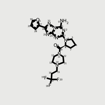 Nc1nc(N2CCC[C@H]2C(=O)N2CCN(CCC(F)(F)F)CC2)nc2nc(-c3ccco3)nn12